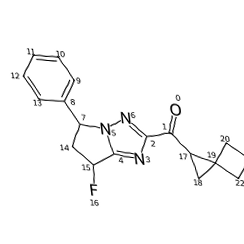 O=C(c1nc2n(n1)C(c1ccccc1)CC2F)C1CC12CCC2